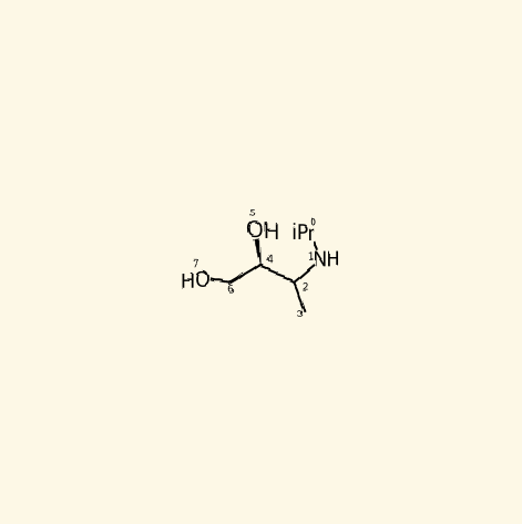 CC(C)NC(C)[C@H](O)CO